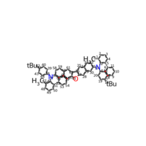 Cc1cccc(-c2ccccc2)c1N(c1ccc(C(C)(C)C)cc1)c1ccc2cc3c(cc2c1)oc1cc2cc(N(c4ccc(C(C)(C)C)cc4)c4c(C)cccc4-c4ccccc4)ccc2cc13